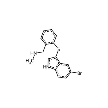 CNCc1ccccc1Sc1c[nH]c2ccc(Br)cc12